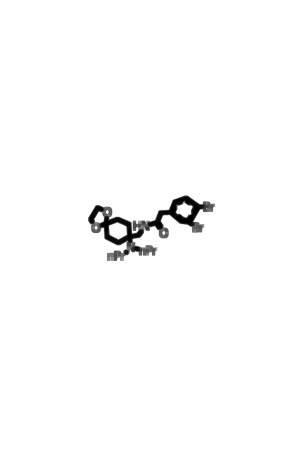 CCCN(CCC)C1(CNC(=O)Cc2ccc(Br)c(Br)c2)CCC2(CC1)OCCO2